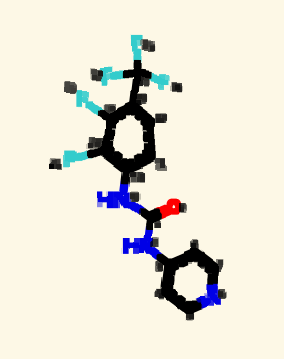 O=C(Nc1ccncc1)Nc1ccc(C(F)(F)F)c(F)c1F